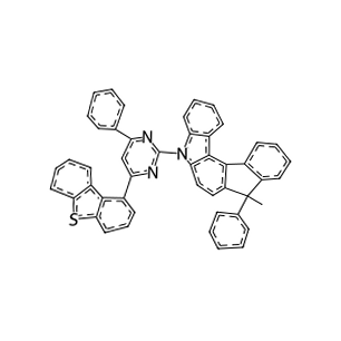 CC1(c2ccccc2)c2ccccc2-c2c1ccc1c2c2ccccc2n1-c1nc(-c2ccccc2)cc(-c2cccc3sc4ccccc4c23)n1